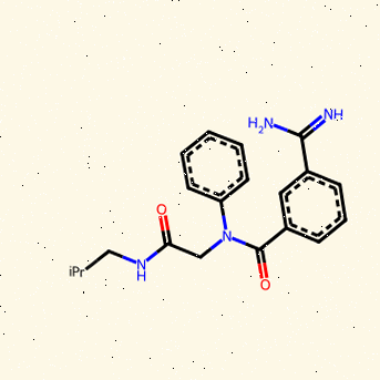 CC(C)CNC(=O)CN(C(=O)c1cccc(C(=N)N)c1)c1ccccc1